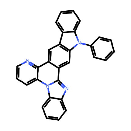 c1ccc(-n2c3ccccc3c3cc4c(cc32)c2nc3ccccc3n2c2cccnc42)cc1